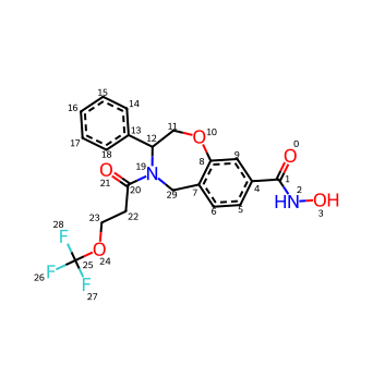 O=C(NO)c1ccc2c(c1)OCC(c1ccccc1)N(C(=O)CCOC(F)(F)F)C2